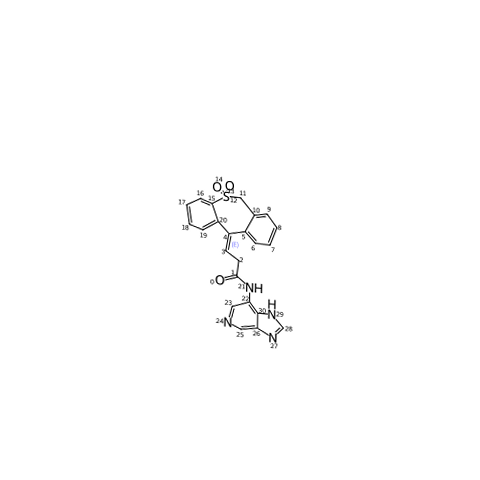 O=C(C/C=C1\c2ccccc2CS(=O)(=O)c2ccccc21)Nc1cncc2nc[nH]c12